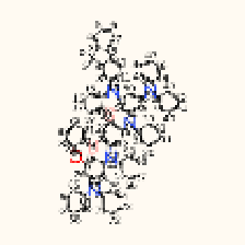 CC1(C)c2ccccc2-c2ccc(N3c4ccccc4B4c5cc6c(cc5N(c5ccccc5)c5cc(N(c7ccccc7)c7ccccc7)cc3c54)N(c3ccccc3)c3cc(N(c4ccccc4)c4ccccc4)cc4c3B6c3ccccc3O4)cc21